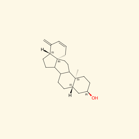 C=C1C=CC[C@]23CCC4C(CC[C@H]5C[C@H](O)CC[C@]45C)C2CC[C@H]13